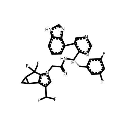 O=C(Cn1cc(C(F)F)c2c1C(F)(F)C1CC21)N[C@@H](Cc1cc(F)cc(F)c1)c1ncncc1-c1cccc2[nH]cnc12